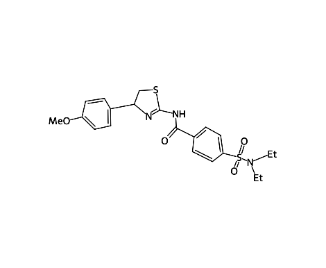 CCN(CC)S(=O)(=O)c1ccc(C(=O)NC2=NC(c3ccc(OC)cc3)CS2)cc1